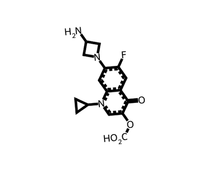 NC1CN(c2cc3c(cc2F)c(=O)c(OC(=O)O)cn3C2CC2)C1